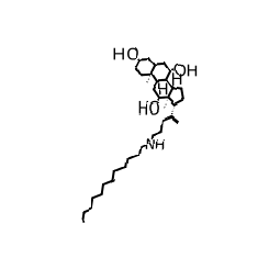 CCCCCCCCCCCCNCCCC(C)[C@H]1CC[C@H]2C3[C@H](O)CC4C[C@H](O)CC[C@]4(C)[C@H]3C[C@H](O)[C@]12C